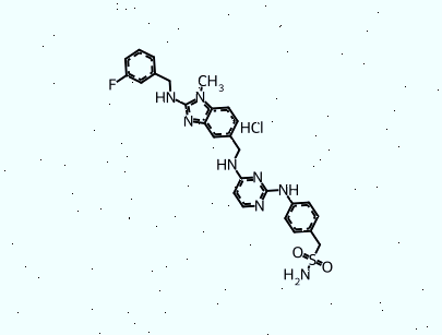 Cl.Cn1c(NCc2cccc(F)c2)nc2cc(CNc3ccnc(Nc4ccc(CS(N)(=O)=O)cc4)n3)ccc21